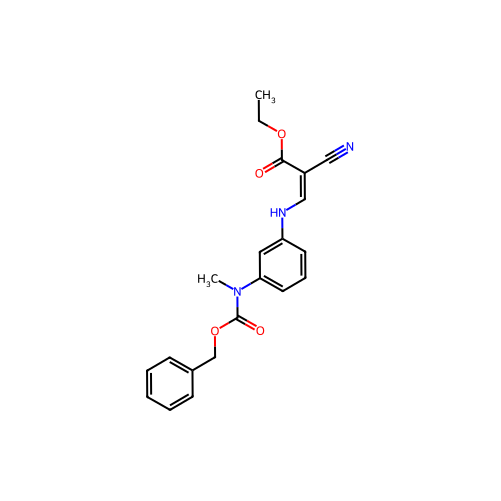 CCOC(=O)/C(C#N)=C\Nc1cccc(N(C)C(=O)OCc2ccccc2)c1